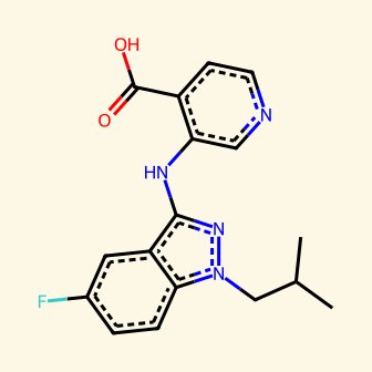 CC(C)Cn1nc(Nc2cnccc2C(=O)O)c2cc(F)ccc21